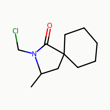 CC1CC2(CCCCC2)C(=O)N1CCl